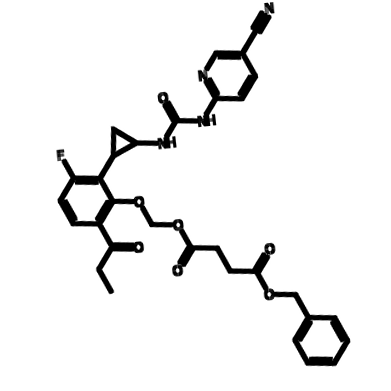 CCC(=O)c1ccc(F)c(C2CC2NC(=O)Nc2ccc(C#N)cn2)c1OCOC(=O)CCC(=O)OCc1ccccc1